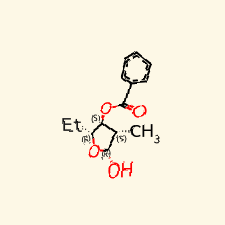 CC[C@H]1O[C@@H](O)[C@@H](C)[C@@H]1OC(=O)c1ccccc1